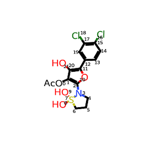 CC(=O)Oc1c(N2CCCS2(O)O)oc(-c2ccc(Cl)c(Cl)c2)c1O